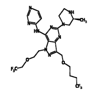 C[C@H]1CN(c2nc(Nc3ccncn3)c3c(n2)c(COCCCC(F)(F)F)nn3CCOCC(F)(F)F)CCN1